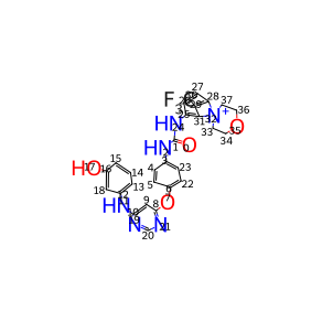 O=C(Nc1ccc(Oc2cc(Nc3cccc(O)c3)ncn2)cc1)Nc1ccc2c(C(F)(F)F)c1[N+]21CCOCC1